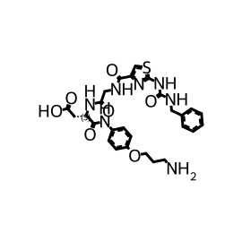 NCCCOc1ccc(NC(=O)[C@H](CC(=O)O)NC(=O)CNC(=O)c2csc(NC(=O)NCc3ccccc3)n2)cc1